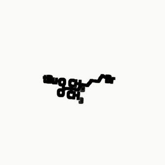 CC(C)(C)OC(=O)C(C)(C)CCCCCCBr